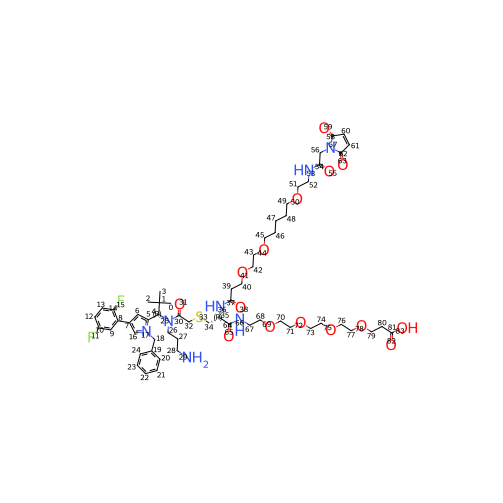 CC(C)(C)[C@H](c1cc(-c2cc(F)ccc2F)cn1Cc1ccccc1)N(CCCN)C(=O)CSC[C@H](NC(=O)CCOCCOCCCCCOCCNC(=O)CN1C(=O)C=CC1=O)C(=O)NCCOCCOCCOCCOCCC(=O)O